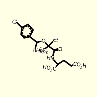 CCCCCCCC(OC(CC)(CC)C(=O)NC(CCC(=O)O)C(=O)O)c1ccc(Cl)cc1